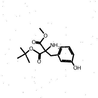 COC(=O)C(N)(Cc1cccc(O)c1)C(=O)OC(C)(C)C